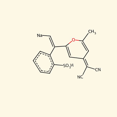 CC1=CC(=C(C#N)C#N)C=C(/C(=[CH]/[Na])c2ccccc2S(=O)(=O)O)O1